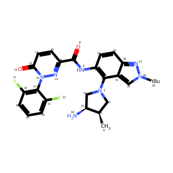 C[C@@H]1CN(c2c(NC(=O)c3ccc(=O)n(-c4c(F)cccc4F)n3)ccc3nn(C(C)(C)C)cc23)C[C@@H]1N